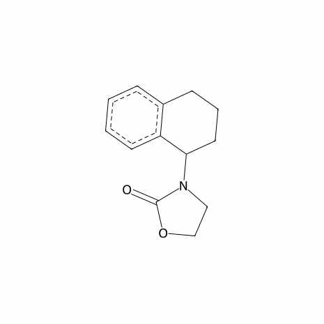 O=C1OCCN1C1CCCc2ccccc21